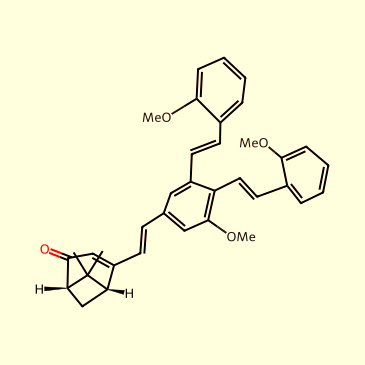 COc1ccccc1/C=C/c1cc(/C=C/C2=CC(=O)[C@H]3C[C@@H]2C3(C)C)cc(OC)c1/C=C/c1ccccc1OC